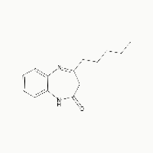 CCCCCC1=Nc2ccccc2NC(=O)C1